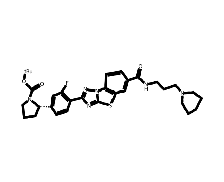 CC(C)(C)OC(=O)N1CCC[C@H]1c1ccc(-c2nc3sc4cc(C(=O)NCCCN5CCCCC5)ccc4n3n2)c(F)c1